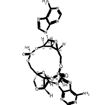 Nc1ncnc2c1ncn2[C@@H]1O[C@@H]2CO[P@@](=O)(S)O[C@H]3[C@H]4OC[C@]3(CO[P@](=O)(S)O[C@@H]1[C@@H]2F)O[C@H]4n1cnc2c(N)ncnc21